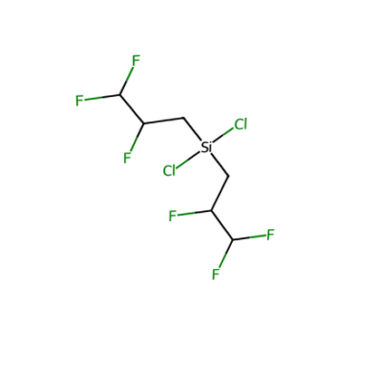 FC(F)C(F)C[Si](Cl)(Cl)CC(F)C(F)F